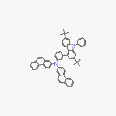 CC(C)(C)c1ccc2c3c(-c4cccc(N(c5ccc6c(ccc7ccccc76)c5)c5ccc6c(ccc7ccccc76)c5)c4)cc(C(C)(C)C)cc3n(-c3ccccc3)c2c1